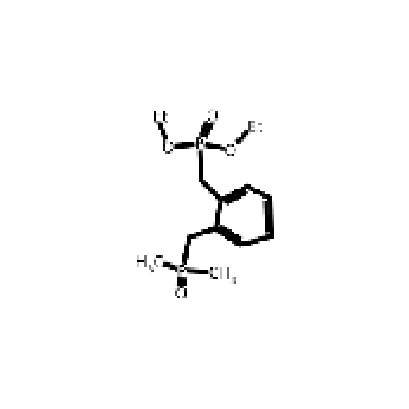 CCOP(=O)(Cc1ccccc1CP(C)(C)=O)OCC